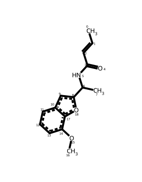 CC=CC(=O)NC(C)c1cc2cccc(OC)c2o1